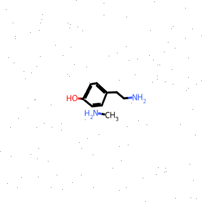 CN.NCCc1ccc(O)cc1